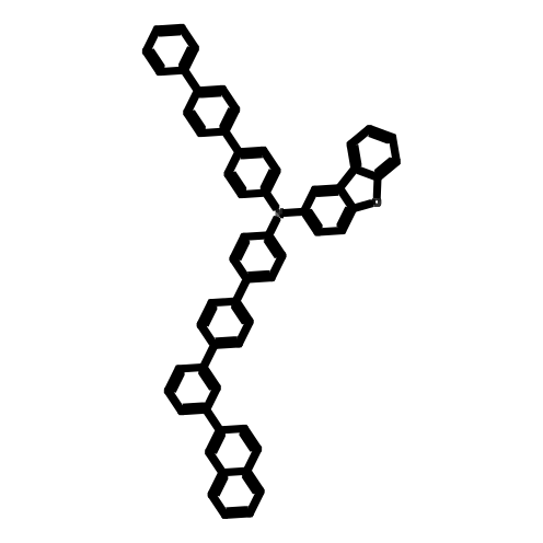 c1ccc(-c2ccc(-c3ccc(N(c4ccc(-c5ccc(-c6cccc(-c7ccc8ccccc8c7)c6)cc5)cc4)c4ccc5oc6ccccc6c5c4)cc3)cc2)cc1